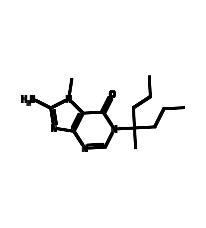 Bc1nc2ncn(C(C)(CCC)CCC)c(=O)c2n1C